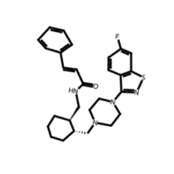 O=C(/C=C/c1ccccc1)NC[C@@H]1CCCC[C@H]1CN1CCN(c2nsc3cc(F)ccc23)CC1